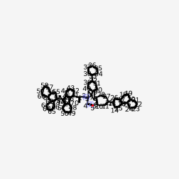 C=C(/C=C(\C=C/C)N(C1=CCC=C(c2ccc3c(ccc4ccccc43)c2)C=C1)c1ccc(-c2ccccc2)cc1)c1cccc2c1c1ccccc1n2-c1cc2ccccc2c2ccccc12